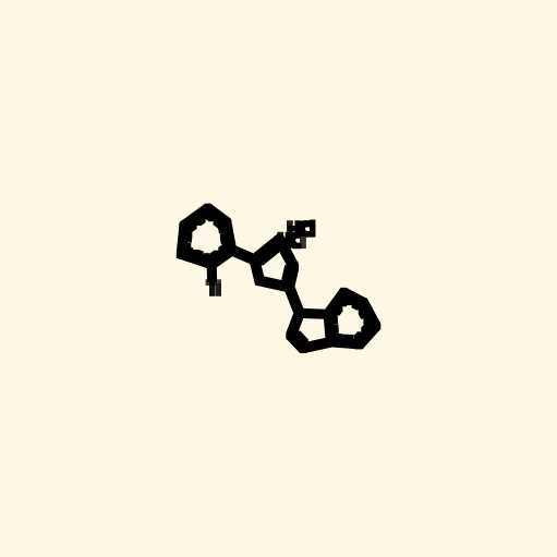 Cl.Cl.[Ti][c]1ccccc1C1=CC=C(C2C=Cc3ccccc32)C1